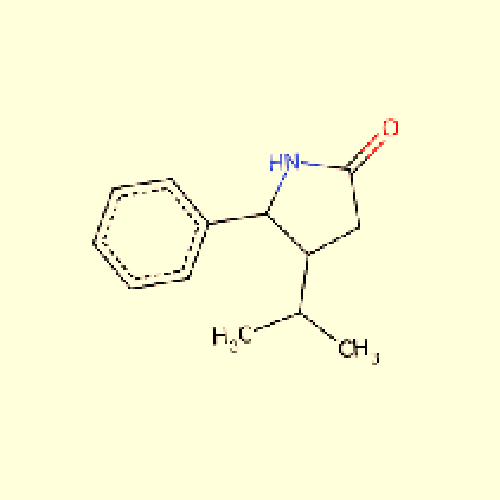 CC(C)C1CC(=O)NC1c1ccccc1